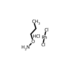 CCCON.Cl.[Cl][Rh][Cl]